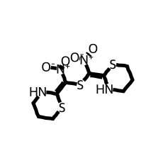 O=[N+]([O-])C(SC(=C1NCCCS1)[N+](=O)[O-])=C1NCCCS1